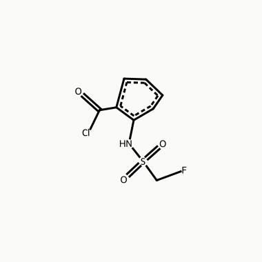 O=C(Cl)c1ccccc1NS(=O)(=O)CF